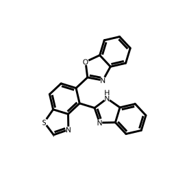 [c]1nc2c(-c3nc4ccccc4[nH]3)c(-c3nc4ccccc4o3)ccc2s1